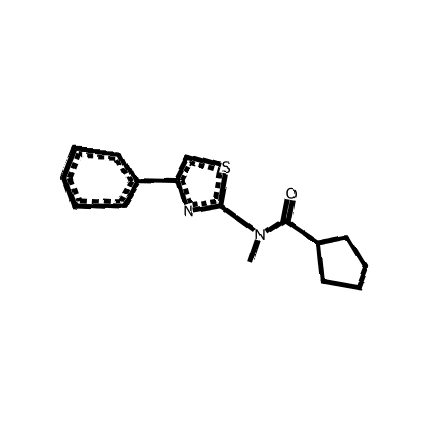 CN(C(=O)C1CCCC1)c1nc(-c2ccccc2)cs1